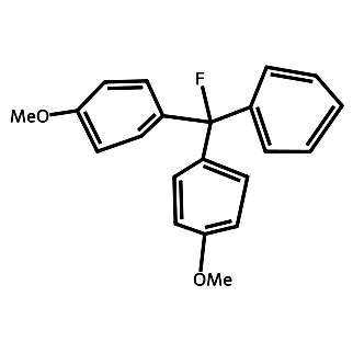 COc1ccc(C(F)(c2ccccc2)c2ccc(OC)cc2)cc1